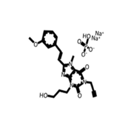 C#CCn1c(=O)c2c(nc(/C=C/c3cccc(OC)c3)n2C)n(CCCO)c1=O.O=P([O-])([O-])O.[Na+].[Na+]